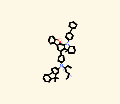 C=C/C(=C\C=C/C)N(c1ccc(-c2cc3c(oc4ccccc43)c3c2C2(C)C=CC=CC2N3c2ccc(-c3ccccc3)cc2)cc1)c1ccc2c(c1)C(C)(C)c1ccccc1-2